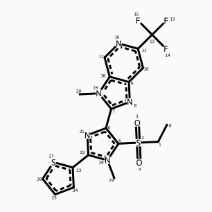 CCS(=O)(=O)c1c(-c2nc3cc(C(F)(F)F)ncc3n2C)nc(-c2cccs2)n1C